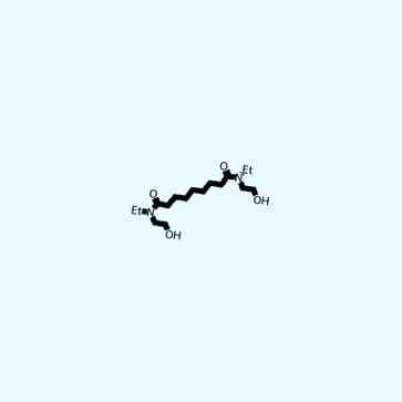 CCN(CCO)C(=O)CCCCCCCC(=O)N(CC)CCO